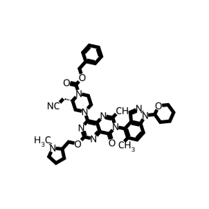 Cc1ccc2c(cnn2C2CCCCO2)c1-n1c(C)nc2c(N3CCN(C(=O)OCc4ccccc4)[C@@H](CC#N)C3)nc(OCC3CCCN3C)nc2c1=O